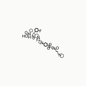 O=C(O)N[C@H]1CCC[C@@H]1C(CN1CCC1)(c1cccc(F)c1)C1CCN(CC2(F)CCN(c3ccc(S(=O)(=O)C4CN(C(=O)/C=C/CN5CCCCC5)C4)cc3)C2)CC1